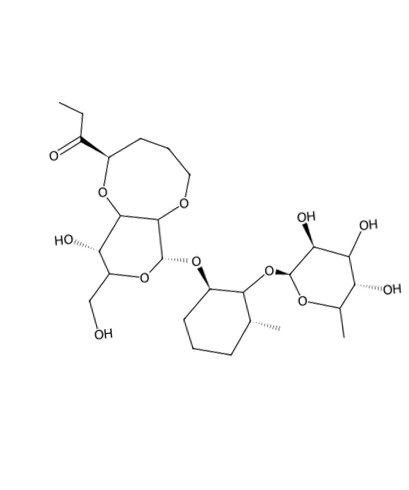 CCC(=O)[C@H]1CCCOC2C(O1)[C@@H](O)C(CO)O[C@H]2O[C@@H]1CCC[C@@H](C)C1O[C@@H]1OC(C)[C@@H](O)C(O)[C@@H]1O